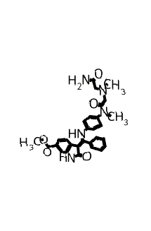 COC(=O)c1ccc2c(c1)NC(=O)C2=C(Nc1ccc(N(C)C(=O)CN(C)CC(N)=O)cc1)c1ccccc1